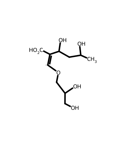 CC(O)CC(O)C(=[C]OCC(O)CO)C(=O)O